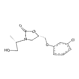 C[C@@H](CO)N1C[C@@H](COc2cccc(Cl)c2)OC1=O